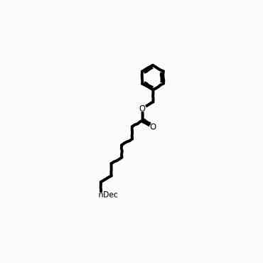 CCCCCCCCCCCCCCCCCC(=O)OCc1ccccc1